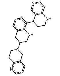 c1cnc2c(c1)CN(C1CNc3c(ccnc3C3CCNc4ccncc43)C1)CC2